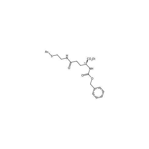 CCOC(=O)[C@H](CCC(=O)NCCSC(C)=O)NC(=O)OCc1ccccc1